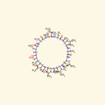 CC[C@@H]1NC(=O)[C@H](CO)N(C)C(=O)[C@H](CC(C)C)N(C)C(=O)[C@H](CC(C)C)N(C)C(=O)[C@H](CC(C)C)N(C)C(=O)C(CC(C)C)NC(=O)[C@H](C)NC(=O)[C@H](CC(C)C)N(C)C(=O)[C@H](C)NC(=O)[C@H](CC(C)C)N(C)C(=O)[C@H](C)NC1=O